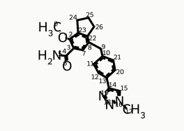 COc1c(C(N)=O)cc(Cc2ccc(-c3cn(C)nn3)cc2)c2c1CCC2